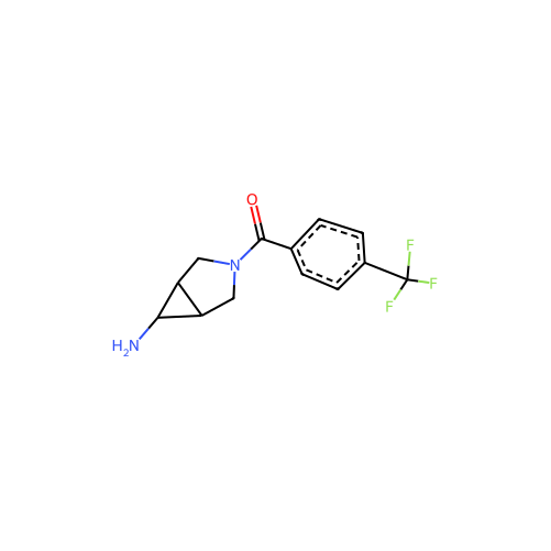 NC1C2CN(C(=O)c3ccc(C(F)(F)F)cc3)CC12